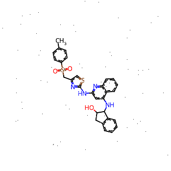 Cc1ccc(S(=O)(=O)Cc2csc(Nc3cc(NC4c5ccccc5CC4O)c4ccccc4n3)n2)cc1